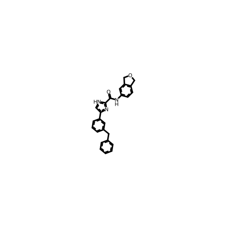 O=C(Nc1ccc2c(c1)COC2)c1nc(-c2cccc(Cc3ccccc3)c2)c[nH]1